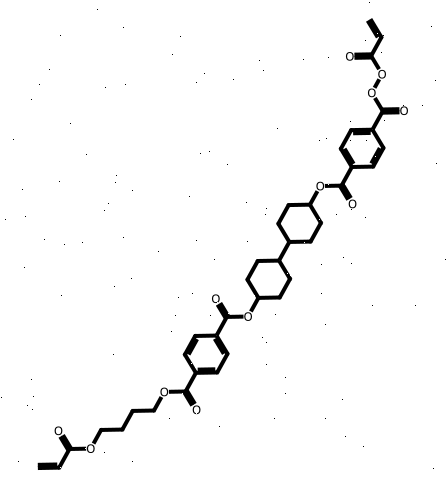 C=CC(=O)OCCCCOC(=O)c1ccc(C(=O)OC2CCC(C3CCC(OC(=O)c4ccc(C(=O)OOC(=O)C=C)cc4)CC3)CC2)cc1